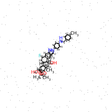 Cc1ccc(CNc2ccc(-n3cc4c(n3)C=C3[C@@H](F)C[C@@H]5[C@H]([C@@H](O)C[C@@]6(C)[C@H]5C[C@H]5OC(C)(C)O[C@]56C(=O)CO)[C@@]3(C)C4)cc2)cc1